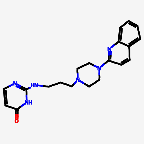 O=c1ccnc(NCCCN2CCN(c3ccc4ccccc4n3)CC2)[nH]1